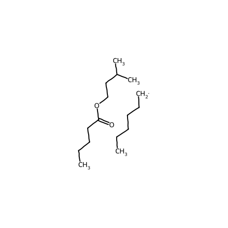 CCCCC(=O)OCCC(C)C.[CH2]CCCCC